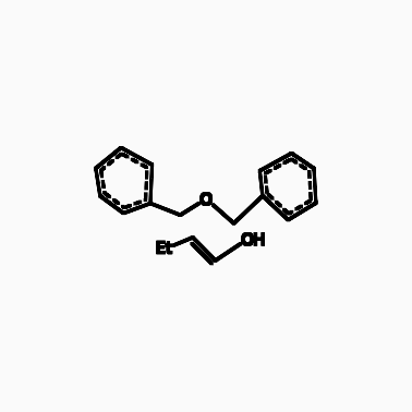 CCC=CO.c1ccc(COCc2ccccc2)cc1